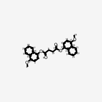 COc1ccc(OC(=O)CCC(=O)Oc2ccc(OC)c3ccccc23)c2ccccc12